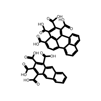 O=C(O)c1c(C(=O)O)c(C(=O)O)c2cc3ccccc3cc2c1C(=O)O.O=C(O)c1c(C(=O)O)c2c(C(=O)O)ccc3c4cccc5cccc(c(c1C(=O)O)c23)c54